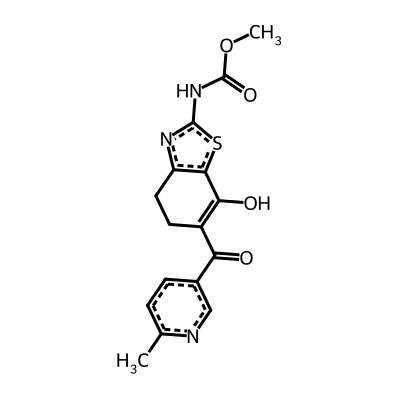 COC(=O)Nc1nc2c(s1)C(O)=C(C(=O)c1ccc(C)nc1)CC2